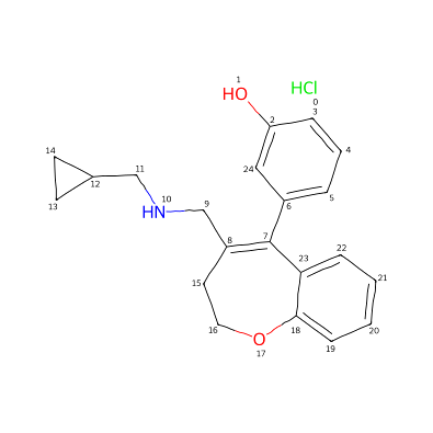 Cl.Oc1cccc(C2=C(CNCC3CC3)CCOc3ccccc32)c1